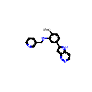 COc1ccc(-c2cc3nnccc3[nH]2)cc1NCc1cccnc1